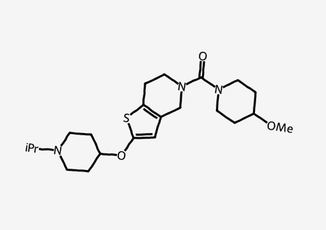 COC1CCN(C(=O)N2CCc3sc(OC4CCN(C(C)C)CC4)cc3C2)CC1